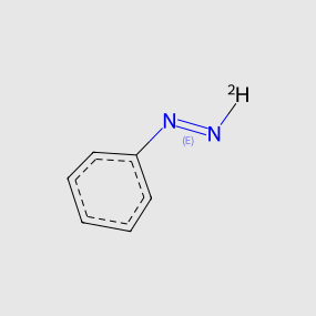 [2H]/N=N/c1ccccc1